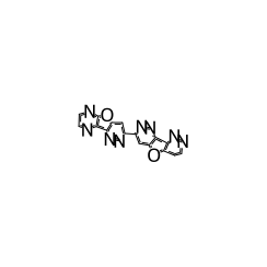 c1cc2oc3cc(-c4cc5oc6nccnc6c5nn4)nnc3c2nn1